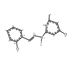 Cc1cc(Cl)cc(N(I)N=Cc2ccccc2Cl)n1